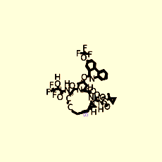 CC1(S(=O)(=O)NC(=O)[C@@]23C[C@H]2/C=C\CCCCC[C@H](NC(=O)[C@H](O)C(F)(F)F)C(=O)N2C[C@H](Oc4nc5ccccc5c5ccc(OC(F)(F)F)cc45)C[C@H]2C(=O)N3)CC1